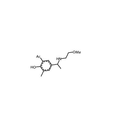 COCCNC(C)c1cc(C)c(O)c(C(C)=O)c1